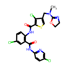 CN(Cc1csc(C(=O)Nc2ccc(Cl)cc2C(=O)Nc2ccc(Cl)cn2)c1Cl)C1=NCCO1